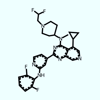 CN(c1nc(-c2ccnc(Nc3c(F)cccc3F)c2)nc2cncc(C3CC3)c12)C1CCN(CC(F)F)CC1